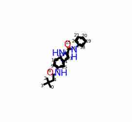 CC(C)(C)CC(=O)Nc1ccc2[nH]c(C(=O)Nc3ccccc3)cc2c1